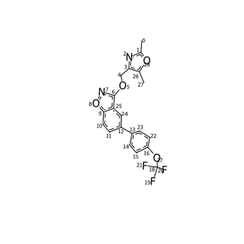 Cc1nc(COc2noc3ccc(-c4ccc(OC(F)(F)F)cc4)cc23)c(C)o1